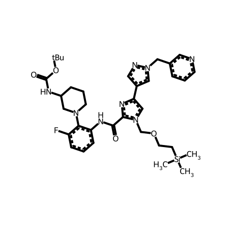 CC(C)(C)OC(=O)NC1CCCN(c2c(F)cccc2NC(=O)c2nc(-c3cnn(Cc4cccnc4)c3)cn2COCC[Si](C)(C)C)C1